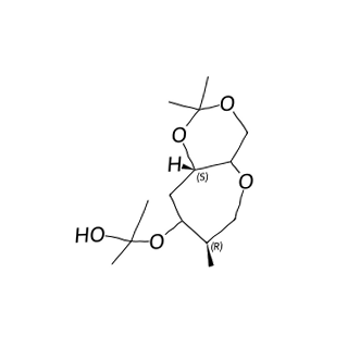 C[C@@H]1COC2COC(C)(C)O[C@H]2CC1OC(C)(C)O